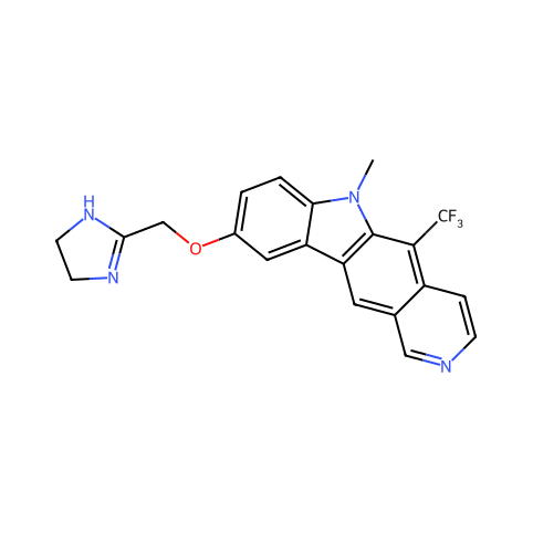 Cn1c2ccc(OCC3=NCCN3)cc2c2cc3cnccc3c(C(F)(F)F)c21